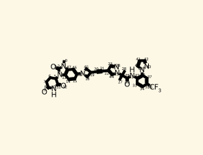 Cn1c(=O)n(C2CCC(=O)NC2=O)c2ccc(N3CC(C#Cc4cnn(C(C)(C)C(=O)Nc5ccc(C(F)(F)F)cc5-n5cccn5)c4)C3)cc21